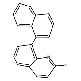 Clc1ccc2cccc(-c3cccc4ccccc34)c2n1